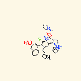 CN1CCCC1COc1nc2c(F)c(-c3cc(O)cc4ccccc34)c(CCC#N)cc2c2c1ccn2C1C2CNC1C2